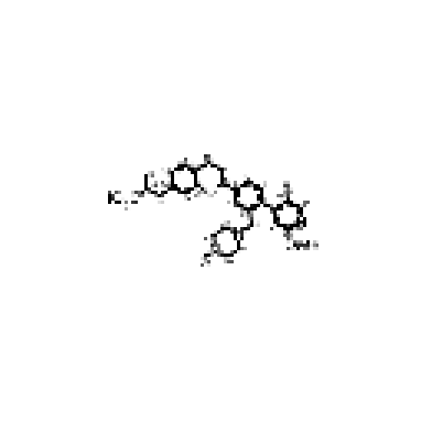 COc1cc(-c2ccc(C3CCc4ccc(CC(C)C(=O)O)cc4O3)cc2CN2CCN(C)CC2)c(F)cn1